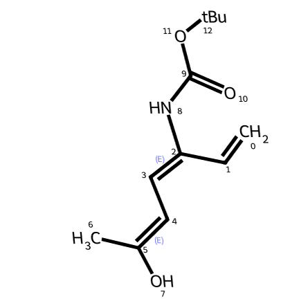 C=C/C(=C\C=C(/C)O)NC(=O)OC(C)(C)C